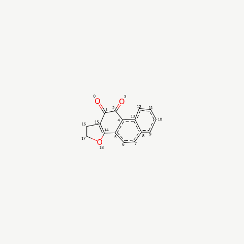 O=C1C(=O)c2c(ccc3ccccc23)C2=C1CCO2